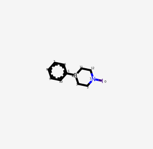 IN1CCB(c2ccccc2)CC1